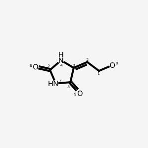 [O]C/C=C1/NC(=O)NC1=O